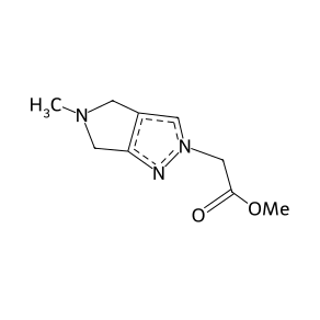 COC(=O)Cn1cc2c(n1)CN(C)C2